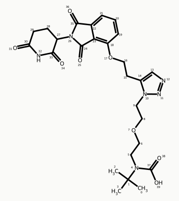 CC(C)(C)N(CCOCCn1nncc1CCOc1cccc2c1C(=O)N(C1CCC(=O)NC1=O)C2=O)C(=O)O